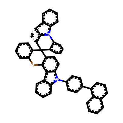 c1ccc2c(c1)Sc1c(ccc3c1c1ccccc1n3-c1ccc(-c3cccc4ccccc34)cc1)C21c2ccccc2-n2c3ccccc3c3cccc1c32